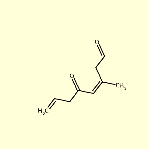 C=CCC(=O)C=C(C)CC=O